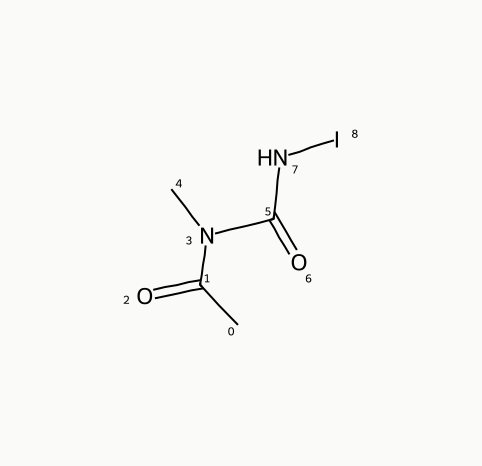 CC(=O)N(C)C(=O)NI